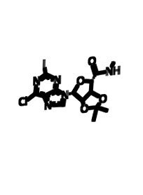 CNC(=O)[C@H]1O[C@@H](n2cnc3c(Cl)nc(I)nc32)C2OC(C)(C)OC21